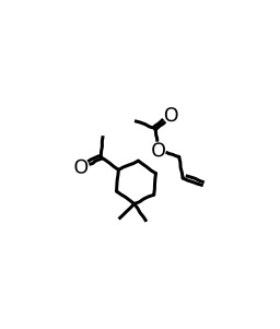 C=CCOC(C)=O.CC(=O)C1CCCC(C)(C)C1